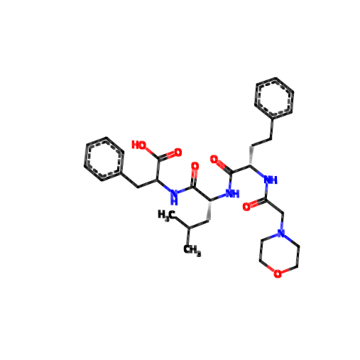 CC(C)C[C@@H](NC(=O)[C@H](CCc1ccccc1)NC(=O)CN1CCOCC1)C(=O)NC(Cc1ccccc1)C(=O)O